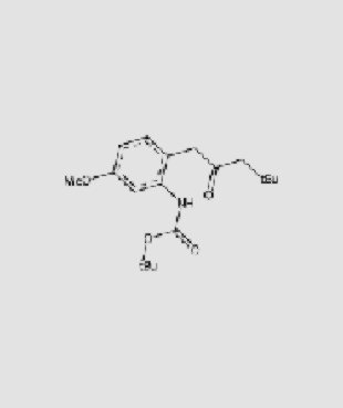 COc1ccc(CC(=O)CC(C)(C)C)c(NC(=O)OC(C)(C)C)c1